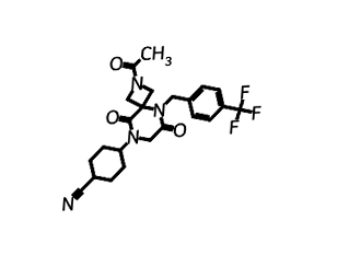 CC(=O)N1CC2(C1)C(=O)N(C1CCC(C#N)CC1)CC(=O)N2Cc1ccc(C(F)(F)F)cc1